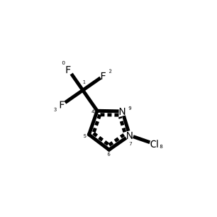 FC(F)(F)c1ccn(Cl)n1